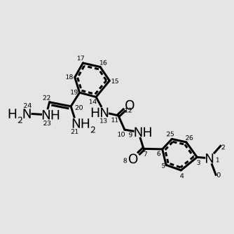 CN(C)c1ccc(C(=O)NCC(=O)Nc2ccccc2/C(N)=C/NN)cc1